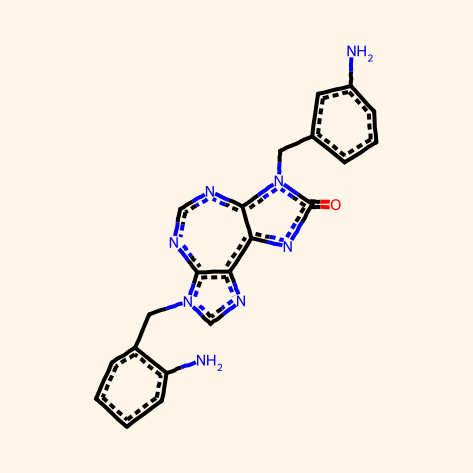 Nc1cccc(Cn2c3ncnc4c(ncn4Cc4ccccc4N)c-3nc2=O)c1